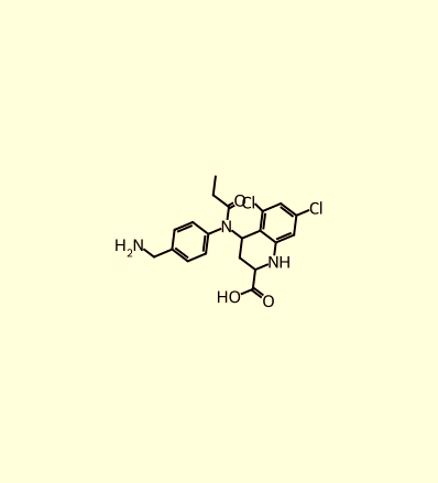 CCC(=O)N(c1ccc(CN)cc1)C1CC(C(=O)O)Nc2cc(Cl)cc(Cl)c21